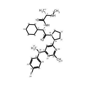 CN[C@@H](C)C(=O)N[C@H](C(=O)N1CCC[C@H]1c1cc(N(C)c2ccc(F)cc2)nc(C)n1)C1CCCCC1